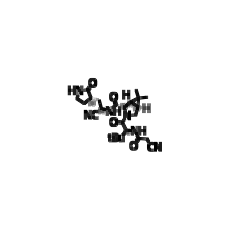 CC(C)(C)[C@H](NC(=O)CC#N)C(=O)N1C[C@H]2[C@@H]([C@H]1C(=O)N[C@H](C#N)C[C@@H]1CCNC1=O)C2(C)C